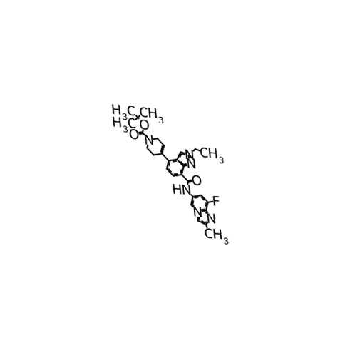 CCn1cc2c(C3=CCN(C(=O)OC(C)(C)C)CC3)ccc(C(=O)Nc3cc(F)c4nc(C)cn4c3)c2n1